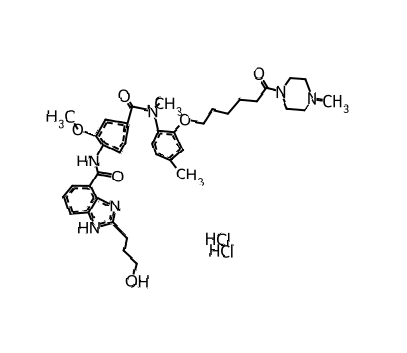 COc1cc(C(=O)N(C)c2ccc(C)cc2OCCCCCC(=O)N2CCN(C)CC2)ccc1NC(=O)c1cccc2[nH]c(CCCO)nc12.Cl.Cl